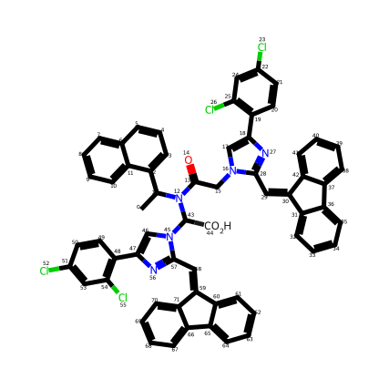 CC(c1cccc2ccccc12)N(C(=O)Cn1cc(-c2ccc(Cl)cc2Cl)nc1C=C1c2ccccc2-c2ccccc21)C(C(=O)O)n1cc(-c2ccc(Cl)cc2Cl)nc1C=C1c2ccccc2-c2ccccc21